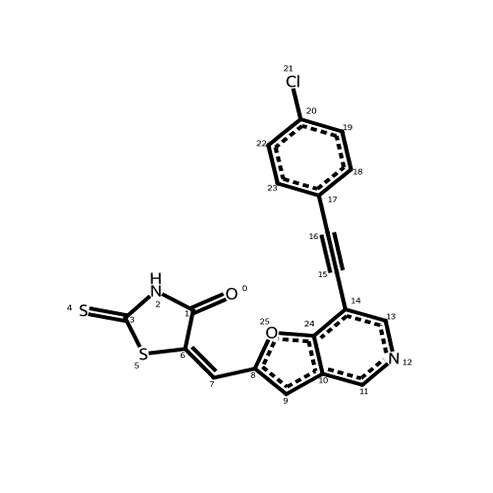 O=C1NC(=S)SC1=Cc1cc2cncc(C#Cc3ccc(Cl)cc3)c2o1